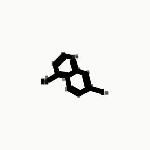 CCc1ccnc2cc(I)ccc12